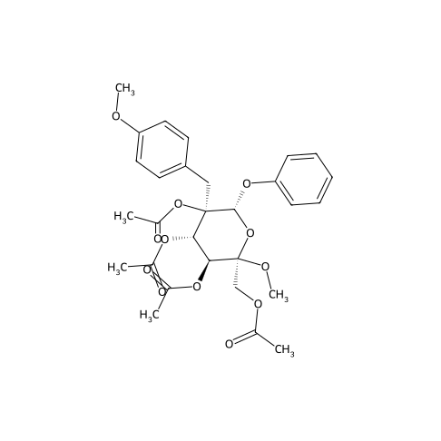 COc1ccc(C[C@]2(OC(C)=O)[C@H](Oc3ccccc3)O[C@@](COC(C)=O)(OC)[C@@H](OC(C)=O)[C@@H]2OC(C)=O)cc1